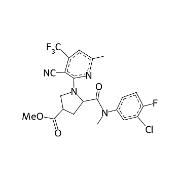 COC(=O)C1CC(C(=O)N(C)c2ccc(F)c(Cl)c2)N(c2nc(C)cc(C(F)(F)F)c2C#N)C1